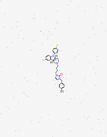 CCc1ccc(Cn2ccn(CCCCN3CC[C@@H]4[C@@H](C3)c3cc(F)ccc3N4c3ccc(F)cc3)c2=O)cc1